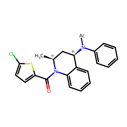 CC(=O)N(c1ccccc1)[C@@H]1C[C@H](C)N(C(=O)c2ccc(Cl)s2)c2ccccc21